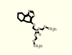 CCOC(=O)OCOP(=O)(COC1=c2scnc2=C2CCCCC2C1)OCOC(=O)OCC